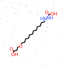 O=C(O)CCOCCCCCCCCCCCCNNC(=O)O